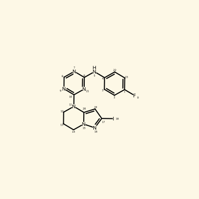 Fc1ccc(Nc2ncnc(N3CCCn4nc(I)cc43)n2)cc1